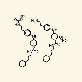 CC(C)(C)OC(=O)NCCc1ccc(NC2CCN(C(=O)NCCCC3CCCCC3)CC2)cc1.NCCc1ccc(NC2CCN(C(=O)NCCCC3CCCCC3)CC2)cc1.O=CO